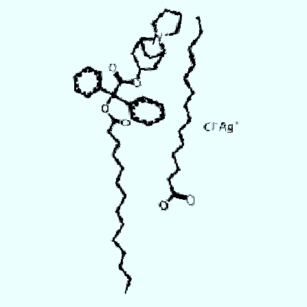 CCCCCCCCCCCCCC(=O)OC(C(=O)OC1CC2CCC(C1)[N+]21CCCC1)(c1ccccc1)c1ccccc1.CCCCCCCCCCCCCC(=O)[O-].[Ag+].[Cl-]